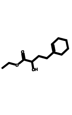 CCOC(=O)C(O)CCC1=CCCCC1